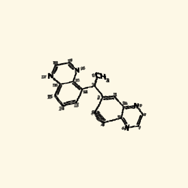 C[C](c1ccc2nccnc2c1)c1cccc2nccnc12